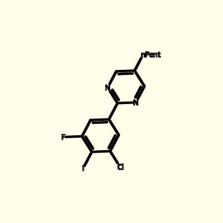 CCCCCc1cnc(-c2cc(F)c(I)c(Cl)c2)nc1